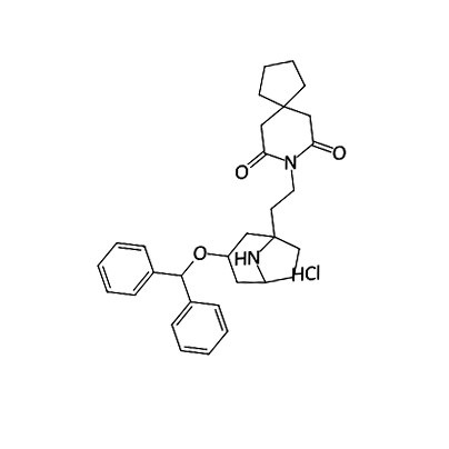 Cl.O=C1CC2(CCCC2)CC(=O)N1CCC12CCC(CC(OC(c3ccccc3)c3ccccc3)C1)N2